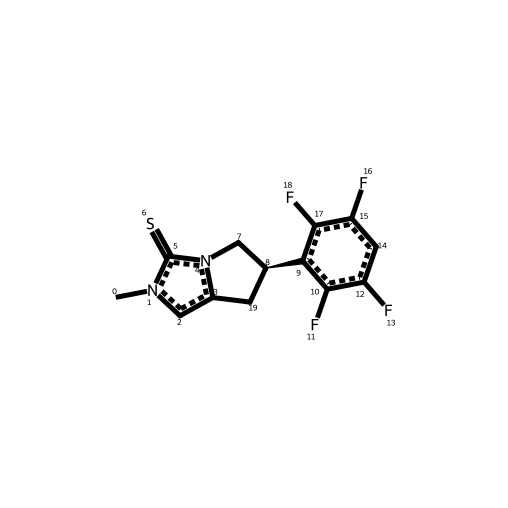 Cn1cc2n(c1=S)C[C@@H](c1c(F)c(F)cc(F)c1F)C2